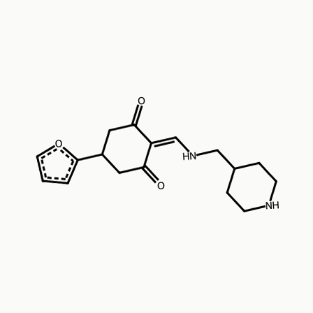 O=C1CC(c2ccco2)CC(=O)C1=CNCC1CCNCC1